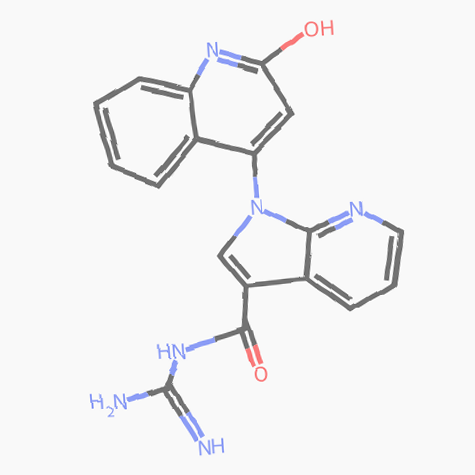 N=C(N)NC(=O)c1cn(-c2cc(O)nc3ccccc23)c2ncccc12